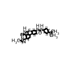 Cc1cnc(-c2ccc(-c3ccc(NC(=O)Nc4ccc(N(C)C)cc4)cc3F)c3c2C(=O)NC3)[nH]1